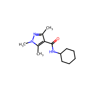 Cc1nn(C)c(C)c1C(=O)NC1CCCCC1